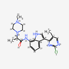 Cc1cnc(Cl)nc1-c1c[nH]c2c(NC(=O)[C@@H](C)N3CCN(C)CC3)cccc12